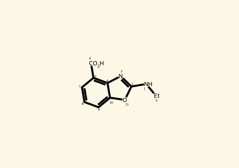 CCNc1nc2c(C(=O)O)cccc2o1